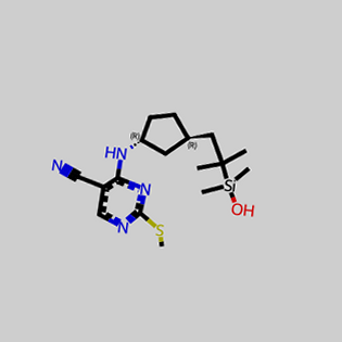 CSc1ncc(C#N)c(N[C@@H]2CC[C@@H](CC(C)(C)[Si](C)(C)O)C2)n1